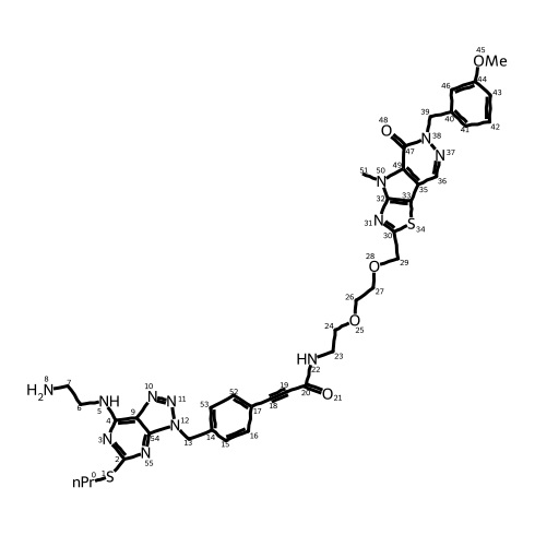 CCCSc1nc(NCCN)c2nnn(Cc3ccc(C#CC(=O)NCCOCCOCc4nc5c(s4)c4cnn(Cc6cccc(OC)c6)c(=O)c4n5C)cc3)c2n1